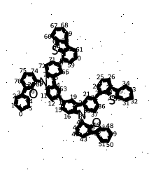 c1ccc2c(c1)oc1c(-n3c4ccc(-c5ccc6c(c5)c5cc(-c7cccc8c7sc7ccccc78)ccc5n6-c5cccc6c5oc5ccccc56)cc4c4cc(-c5cccc6c5sc5ccccc56)ccc43)cccc12